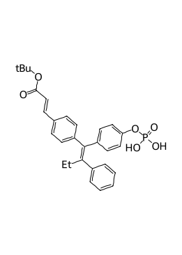 CC/C(=C(\c1ccc(/C=C/C(=O)OC(C)(C)C)cc1)c1ccc(OP(=O)(O)O)cc1)c1ccccc1